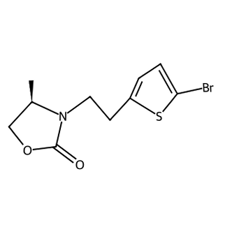 C[C@@H]1COC(=O)N1CCc1ccc(Br)s1